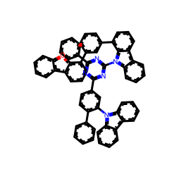 c1ccc(-c2nc(-c3ccc(-c4ccccc4)c(-n4c5ccccc5c5ccccc54)c3)nc(-n3c4ccccc4c4cccc(-c5cccc(-c6cccc7c6oc6ccccc67)c5)c43)n2)cc1